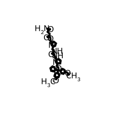 COc1ccc(C(OCc2cccc(CNC(=O)NCc3cccc(COC(=O)CCC(N)=O)n3)n2)(c2ccccc2)c2ccc(OC)cc2)cc1